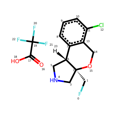 FC[C@]12CNC[C@@H]1c1cccc(Cl)c1CO2.O=C(O)C(F)(F)F